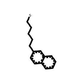 [S]CCCCCc1ccc2ccccc2c1